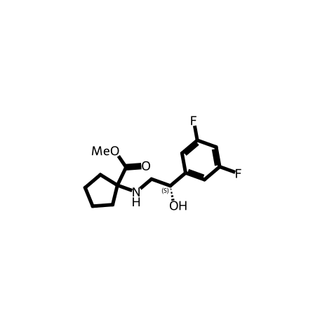 COC(=O)C1(NC[C@@H](O)c2cc(F)cc(F)c2)CCCC1